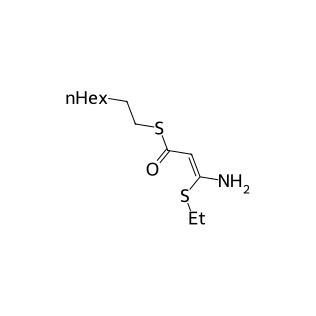 CCCCCCCCSC(=O)C=C(N)SCC